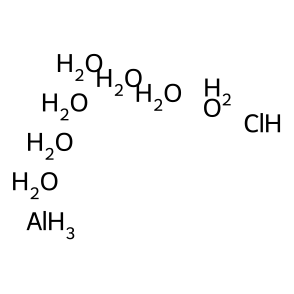 Cl.O.O.O.O.O.O.O.[AlH3]